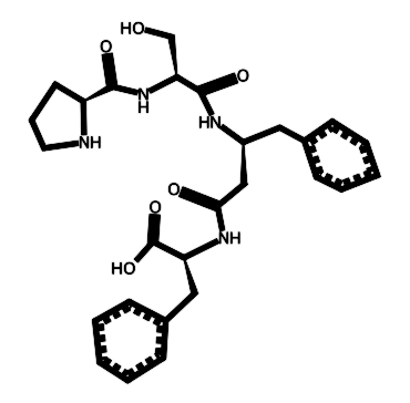 O=C(C[C@H](Cc1ccccc1)NC(=O)[C@H](CO)NC(=O)[C@@H]1CCCN1)N[C@@H](Cc1ccccc1)C(=O)O